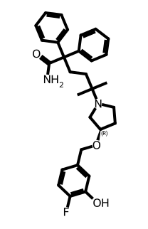 CC(C)(CCC(C(N)=O)(c1ccccc1)c1ccccc1)N1CC[C@@H](OCc2ccc(F)c(O)c2)C1